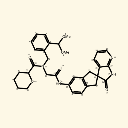 COC(OC)c1ccccc1CN(CC(=O)Nc1ccc2c(c1)CC1(C2)C(=O)Nc2ncccc21)C(=O)C1CCCCO1